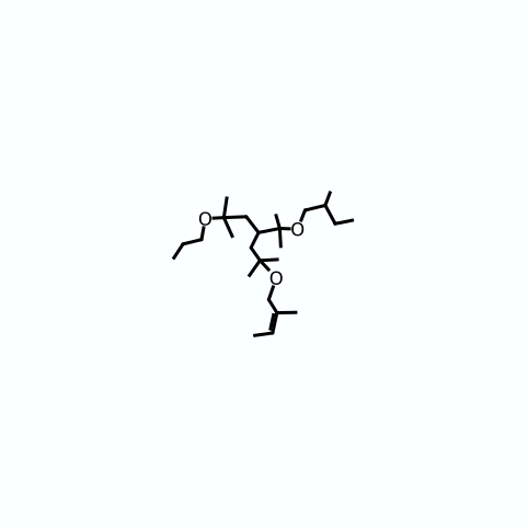 C/C=C(/C)COC(C)(C)CC(CC(C)(C)OCCC)C(C)(C)OCC(C)CC